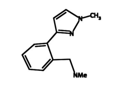 CNCc1ccccc1-c1ccn(C)n1